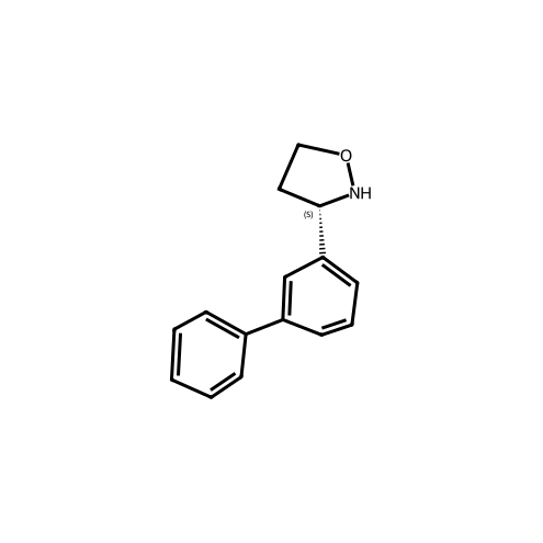 c1ccc(-c2cccc([C@@H]3CCON3)c2)cc1